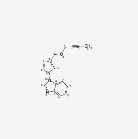 CC#CCOCc1ccn(-n2cnc3ccccc32)n1